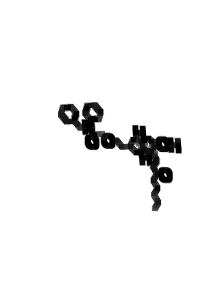 CCCCCC(=O)C=C[C@H]1[C@@H]2CC(CCOCC(=O)N(Cc3ccccc3)c3ccccc3)C[C@H]2C[C@@H]1O